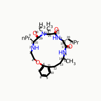 CCC[C@@H]1NCCOc2ccccc2CC[C@H](C)NC(=O)[C@@H](CC(C)C)NC(=O)[C@@H](C)N(C)C1=O